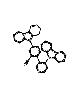 N#Cc1cc(-n2c3c(c4ccccc42)C=CCC3)ccc1-c1cnccc1-n1c2ccccc2c2ccccc21